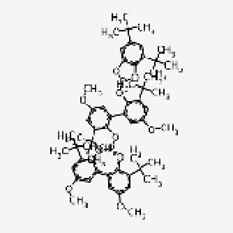 CCC(C)(C)c1cc(OC)cc(-c2cc(OC)cc(C(C)(C)C)c2OP2Oc3cc(C(C)(C)C)cc(C(C)(C)C)c3O2)c1Op1oc2c(C(C)(C)C)cc(OC)cc2c2cc(OC)cc(C(C)(C)C)c2o1